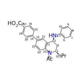 CCC[C@@H]1C[C@H](Nc2ccccc2)c2cc(-c3ccc(C(=O)O)cc3)ccc2N1C(C)=O